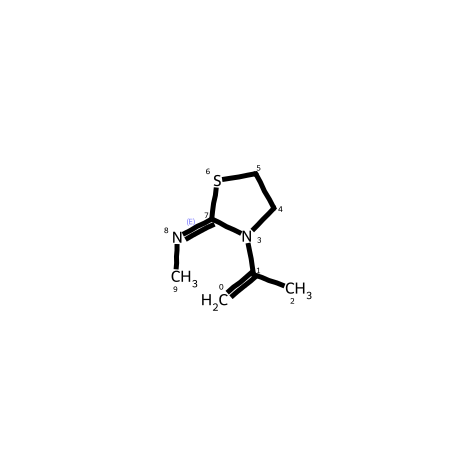 C=C(C)N1CCS/C1=N/C